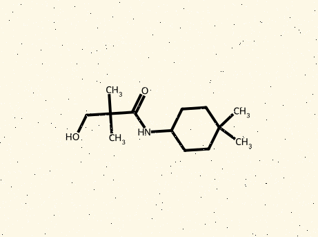 CC1(C)CCC(NC(=O)C(C)(C)CO)CC1